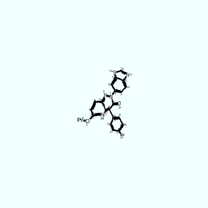 CC(C)Oc1ccc2nn(-c3ccc4ncsc4c3)c(=O)c(-c3ccc(Br)cc3)c2n1